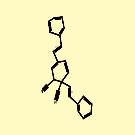 N#CC1C=C(/C=C/c2ccccc2)C=CC1(C#N)/C=C/c1ccccc1